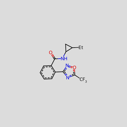 CCC1CC1NC(=O)c1ccccc1-c1noc(C(F)(F)F)n1